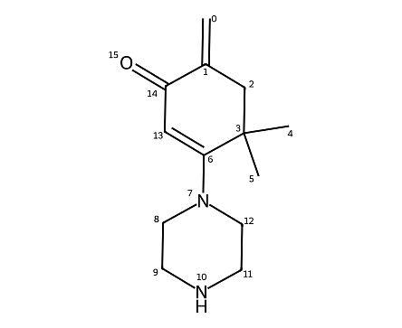 C=C1CC(C)(C)C(N2CCNCC2)=CC1=O